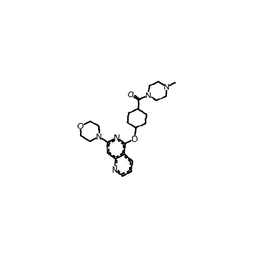 CN1CCN(C(=O)C2CCC(Oc3nc(N4CCOCC4)cc4ncccc34)CC2)CC1